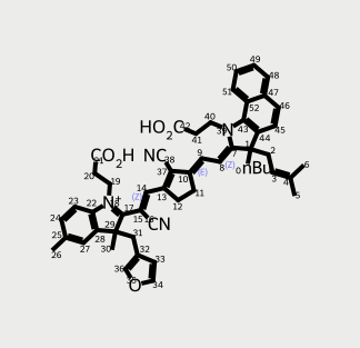 CCCCC1(CC=C(C)C)/C(=C/C=C2\CCC(/C=C(\C#N)C3=[N+](CCC(=O)O)c4ccc(C)cc4C3(C)Cc3ccoc3)=C2C#N)N(CCC(=O)O)c2c1ccc1ccccc21